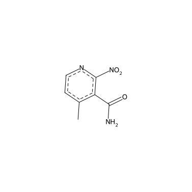 Cc1ccnc([N+](=O)[O-])c1C(N)=O